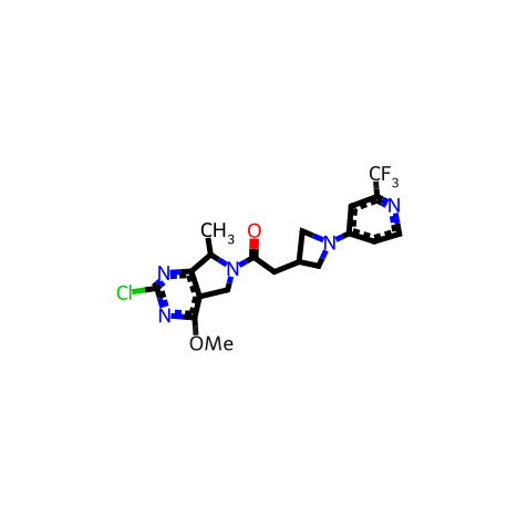 COc1nc(Cl)nc2c1CN(C(=O)CC1CN(c3ccnc(C(F)(F)F)c3)C1)C2C